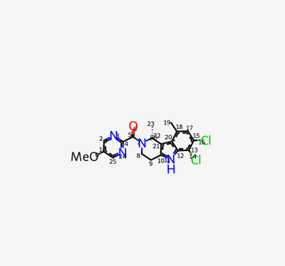 COc1cnc(C(=O)N2CCc3[nH]c4c(Cl)c(Cl)cc(C)c4c3[C@H]2C)nc1